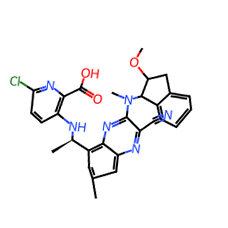 COC1Cc2ccccc2C1N(C)c1nc2c([C@@H](C)Nc3ccc(Cl)nc3C(=O)O)cc(C)cc2nc1C#N